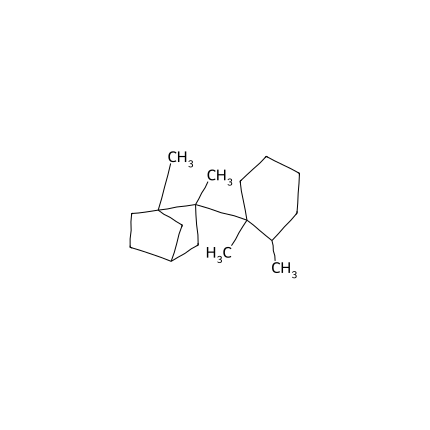 CC1CCCCC1(C)C1(C)CC2CCC1(C)C2